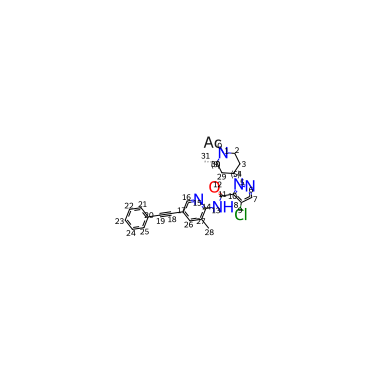 CC(=O)N1CC[C@H](n2ncc(Cl)c2C(=O)Nc2ncc(C#Cc3ccccc3)cc2C)C[C@@H]1C